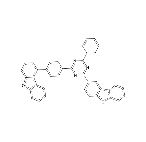 C1=CCC(c2nc(-c3ccc(-c4cccc5oc6ccccc6c45)cc3)nc(-c3ccc4oc5ccccc5c4c3)n2)C=C1